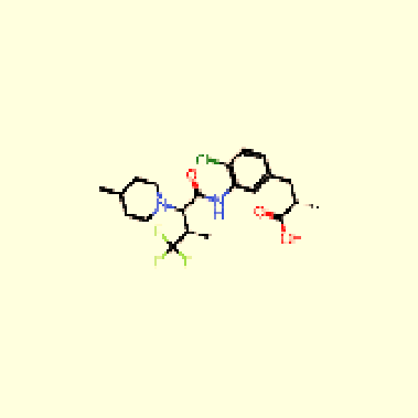 CC1CCN([C@@H](C(=O)Nc2cc(C[C@H](C)C(=O)O)ccc2Cl)[C@@H](C)C(F)(F)F)CC1